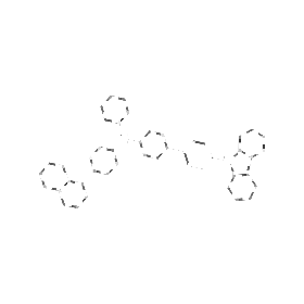 C1=CC(n2c3ccccc3c3ccccc32)CC=C1c1ccc(N(c2ccccc2)c2ccc(-c3cccc4ccccc34)cc2)cc1